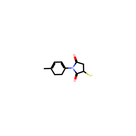 CC1=CC=C(N2C(=O)CC(S)C2=O)CC1